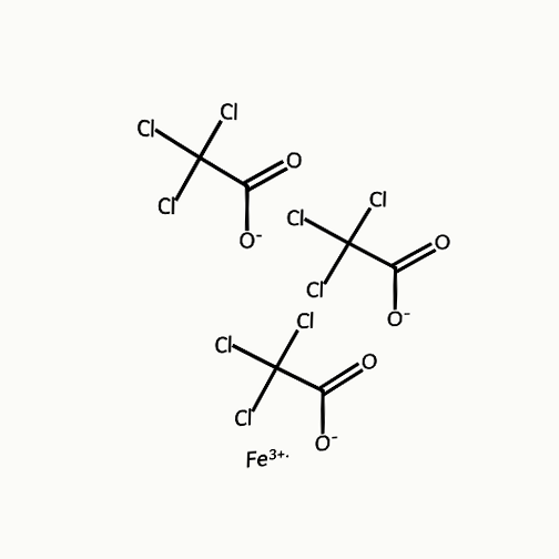 O=C([O-])C(Cl)(Cl)Cl.O=C([O-])C(Cl)(Cl)Cl.O=C([O-])C(Cl)(Cl)Cl.[Fe+3]